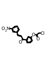 O=C(CCl)Oc1cccc(C(=O)C=Cc2cccc([N+](=O)[O-])c2)c1